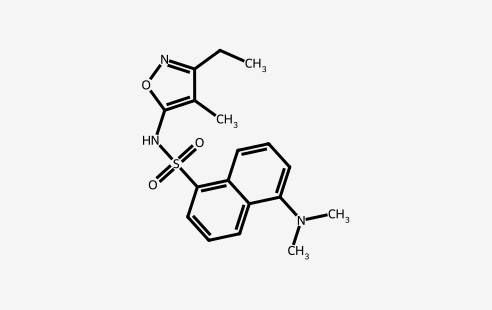 CCc1noc(NS(=O)(=O)c2cccc3c(N(C)C)cccc23)c1C